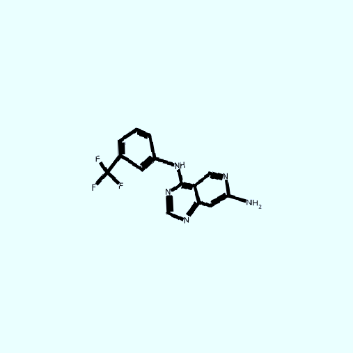 Nc1cc2ncnc(Nc3cccc(C(F)(F)F)c3)c2cn1